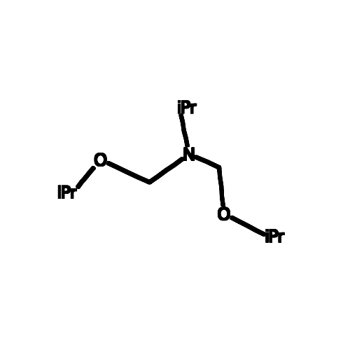 CC(C)OCN(COC(C)C)C(C)C